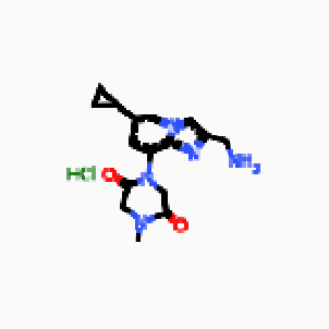 CN1CC(=O)N(c2cc(C3CC3)cn3cc(CN)nc23)CC1=O.Cl